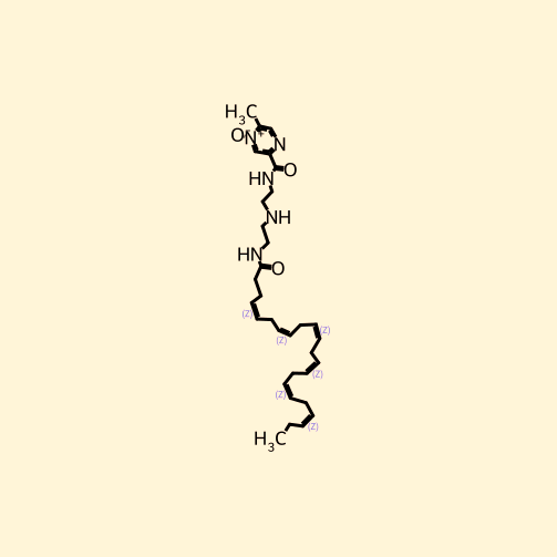 CC/C=C\C/C=C\C/C=C\C/C=C\C/C=C\C/C=C\CCC(=O)NCCNCCNC(=O)c1c[n+]([O-])c(C)cn1